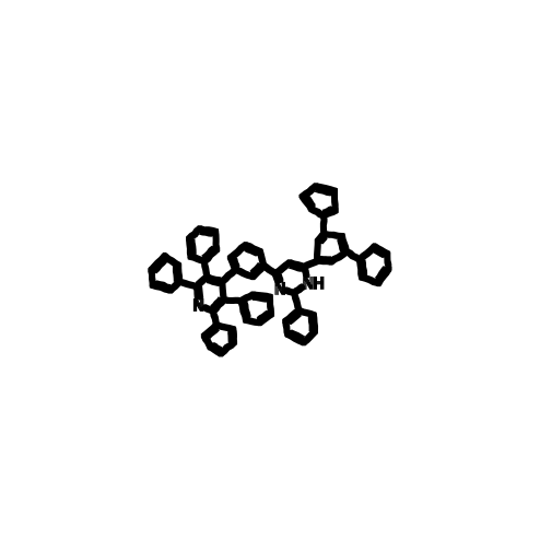 C1=C(c2cc(-c3ccccc3)cc(-c3ccccc3)c2)NC(c2ccccc2)N=C1c1cccc(-c2c(-c3ccccc3)c(-c3ccccc3)nc(-c3ccccc3)c2-c2ccccc2)c1